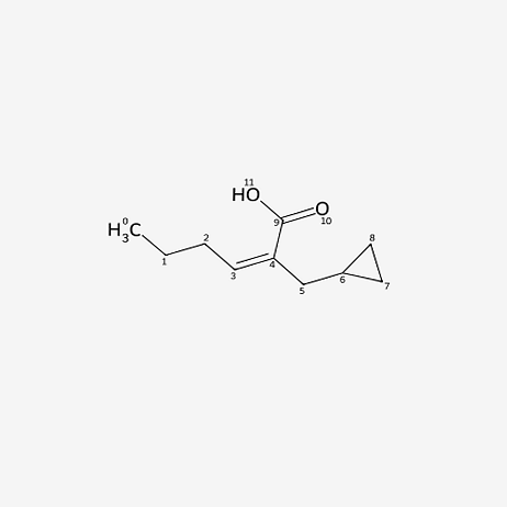 CCCC=C(CC1CC1)C(=O)O